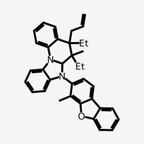 C=CCC1(CC)c2ccccc2N2c3ccccc3N(c3ccc4c(oc5ccccc54)c3C)C2C1(C)CC